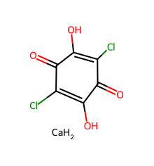 O=C1C(O)=C(Cl)C(=O)C(O)=C1Cl.[CaH2]